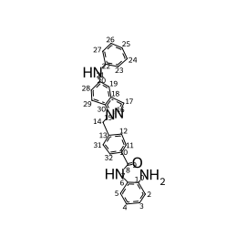 Nc1ccccc1NC(=O)c1ccc(Cn2ncc3cc(Nc4ccccc4)ccc32)cc1